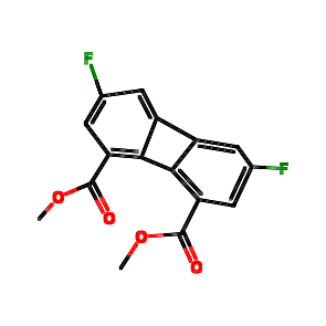 COC(=O)c1cc(F)cc2c1-c1c(C(=O)OC)cc(F)cc1-2